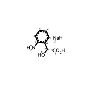 Nc1ccccc1[C@@H](O)C(=O)O.[NaH]